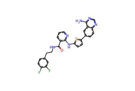 Nc1ncnc2ccc(-c3ccc(Nc4ncccc4C(=O)NCCc4ccc(F)c(F)c4)s3)cc12